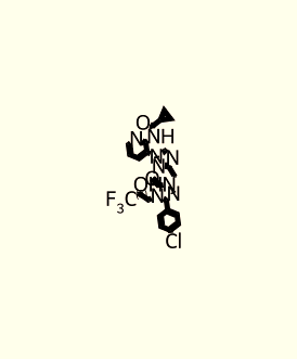 O=C(Nc1ncccc1-n1cnc(Cn2nc(-c3ccc(Cl)cc3)n(C[C@H](O)C(F)(F)F)c2=O)n1)C1CC1